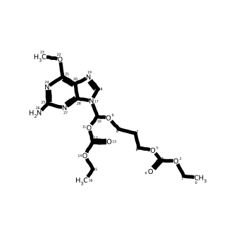 CCOC(=O)OCCCOC(OC(=O)OCC)n1cnc2c(OC)nc(N)nc21